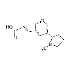 CN1CCCC1c1cncc(C=CC(=O)O)c1